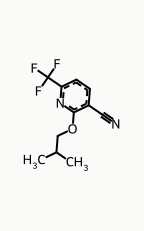 CC(C)COc1nc(C(F)(F)F)ccc1C#N